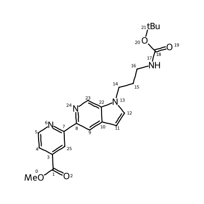 COC(=O)c1ccnc(-c2cc3ccn(CCCNC(=O)OC(C)(C)C)c3cn2)c1